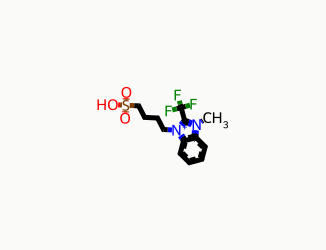 Cn1c(C(F)(F)F)[n+](CCCCS(=O)(=O)O)c2ccccc21